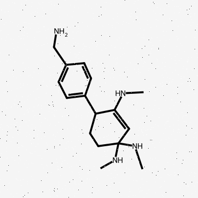 CNC1=CC(NC)(NC)CCC1c1ccc(CN)cc1